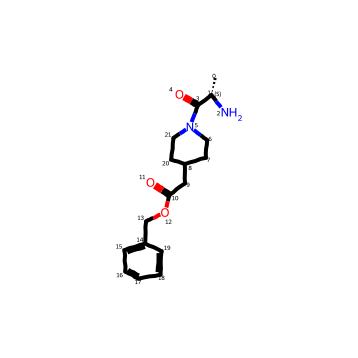 C[C@H](N)C(=O)N1CCC(CC(=O)OCc2ccccc2)CC1